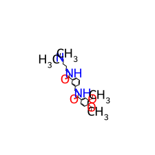 COc1ccc(C(=O)NCc2cccc(C(=O)NCCCCN(C)C)c2)cc1OC